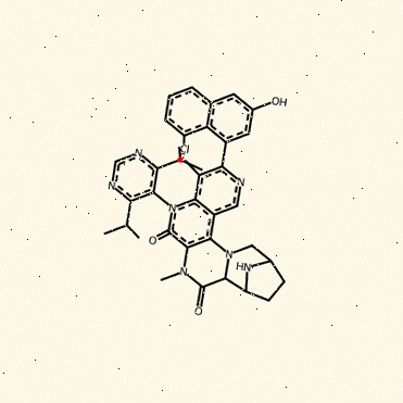 CC(C)c1ncnc(C(C)C)c1-n1c(=O)c2c(c3cnc(-c4cc(O)cc5cccc(Cl)c45)c(F)c31)N1CC3CCC(N3)C1C(=O)N2C